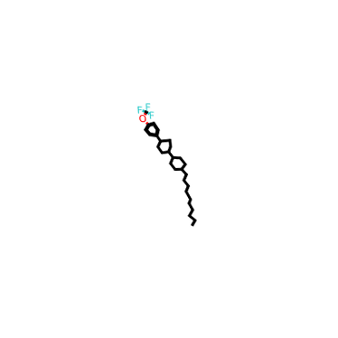 CCCCCCCCCCC1CCC(C2CCC(c3ccc(OC(F)(F)F)cc3)CC2)CC1